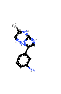 Nc1cccc(-c2cnc3nc(C(F)(F)F)cnn23)c1